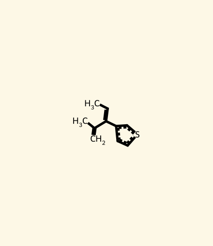 C=C(C)C(=CC)c1ccsc1